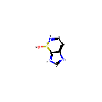 [O-][s+]1nccc2ncnc1-2